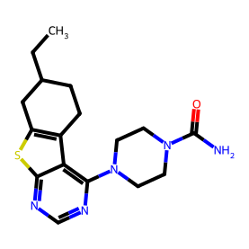 CCC1CCc2c(sc3ncnc(N4CCN(C(N)=O)CC4)c23)C1